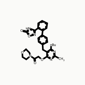 CCCCc1nc(C)nc(OCC(=O)N2CCOCC2)c1Cc1ccc(-c2ccccc2-c2noc(=O)[nH]2)cc1